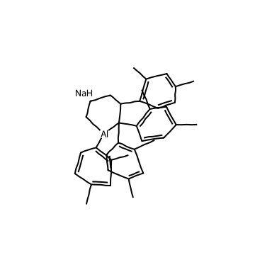 Cc1ccc(C2CC[CH2][Al]([c]3ccc(C)cc3C)[C]2(c2ccc(C)cc2C)c2ccc(C)cc2C)c(C)c1.[NaH]